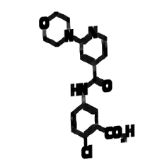 O=C(Nc1ccc(Cl)c(C(=O)O)c1)c1ccnc(N2CCOCC2)c1